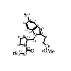 COOCCc1nc2cc(Br)ccc2n1CC1CCCN1C(=O)OC(C)(C)C